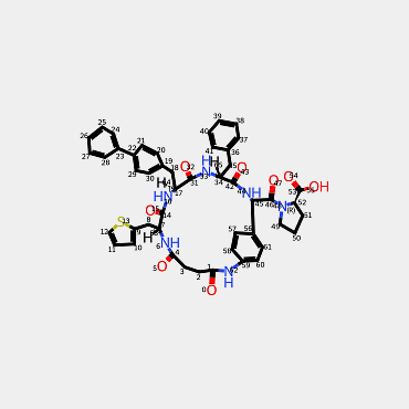 O=C1CCC(=O)N[C@H](Cc2cccs2)C(=O)N[C@@H](Cc2ccc(-c3ccccc3)cc2)C(=O)N[C@H](Cc2ccccc2)C(=O)NC(C(=O)N2CCC[C@@H]2C(=O)O)c2ccc(cc2)N1